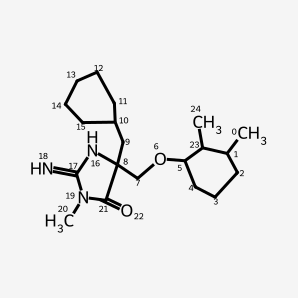 CC1CCCC(OCC2(CC3CCCCC3)NC(=N)N(C)C2=O)C1C